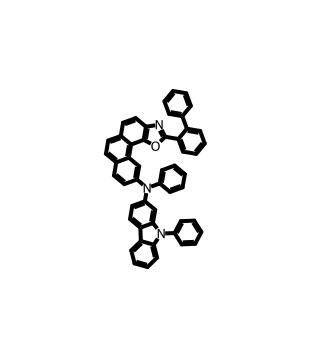 c1ccc(-c2ccccc2-c2nc3ccc4ccc5ccc(N(c6ccccc6)c6ccc7c8ccccc8n(-c8ccccc8)c7c6)cc5c4c3o2)cc1